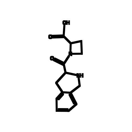 O=C(O)C1CCN1C(=O)C1Cc2ccccc2CN1